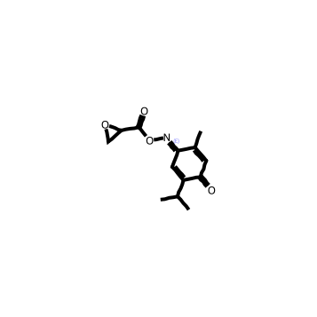 CC1=CC(=O)C(C(C)C)=C/C1=N\OC(=O)C1CO1